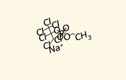 CCOP(=O)([O-])OC(Cl)(C(Cl)Cl)C(Cl)(Cl)Cl.[Na+]